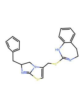 C1=C(CSC2=NCCc3ccccc3N2)N2CC(Cc3ccccc3)N=C2S1